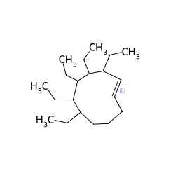 CCC1/C=C/CCCC(CC)C(CC)C(CC)C1CC